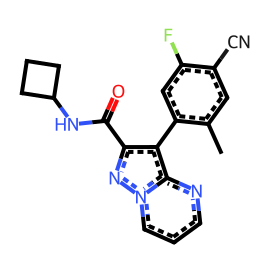 Cc1cc(C#N)c(F)cc1-c1c(C(=O)NC2CCC2)nn2cccnc12